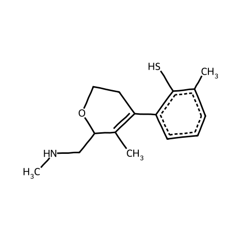 CNCC1OCCC(c2cccc(C)c2S)=C1C